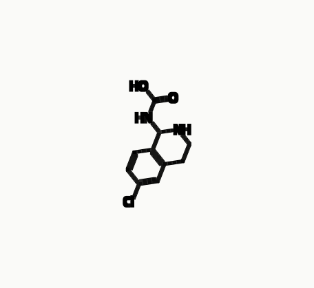 O=C(O)NC1NCCc2cc(Cl)ccc21